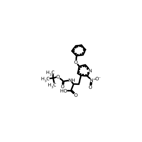 CC(C)(C)OC(=O)NC(Cc1cc(Oc2ccccc2)cnc1[N+](=O)[O-])C(=O)O